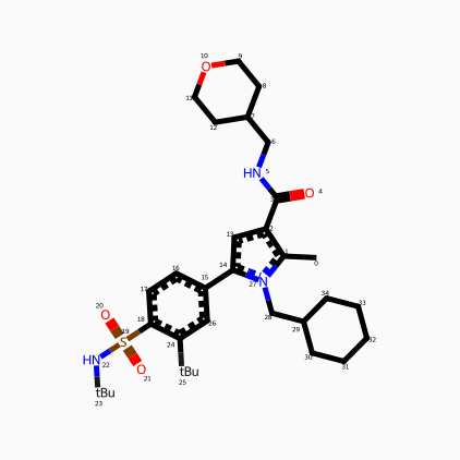 Cc1c(C(=O)NCC2CCOCC2)cc(-c2ccc(S(=O)(=O)NC(C)(C)C)c(C(C)(C)C)c2)n1CC1CCCCC1